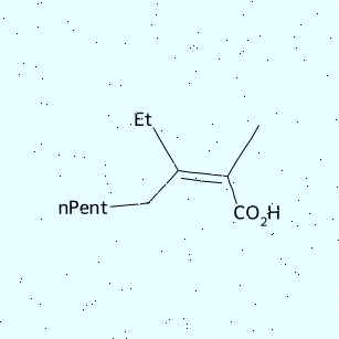 CCCCCC/C(CC)=C(/C)C(=O)O